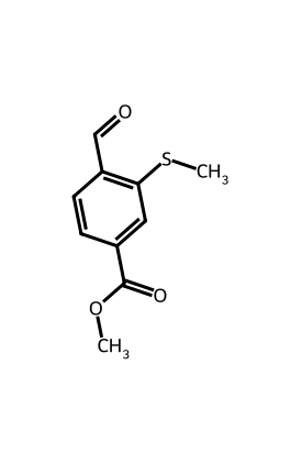 COC(=O)c1ccc(C=O)c(SC)c1